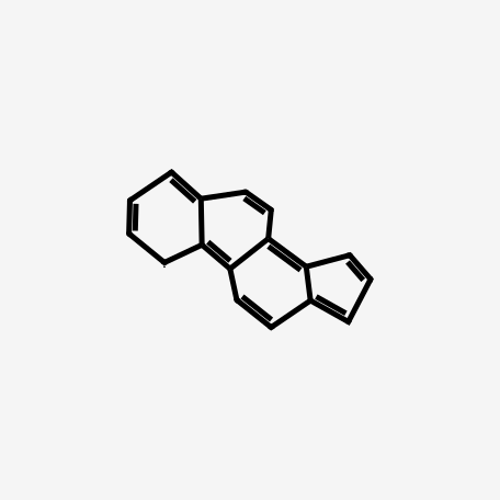 [CH]1C=CC=c2ccc3c4c(ccc3c21)=CC=C4